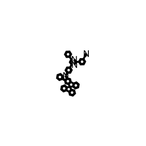 N#Cc1cccc(-c2nc(-c3ccccc3)cc(-c3ccc(-n4c5ccccc5c5cc6c(cc54)-c4ccccc4C64c5ccccc5-c5ccccc54)cc3)n2)c1